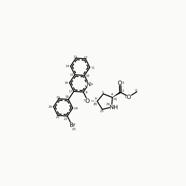 COC(=O)[C@@H]1C[C@@H](Oc2nc3ccccc3cc2-c2cccc(Br)c2)CN1